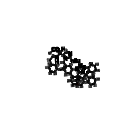 CCCCc1ncc(C(=O)N[C@@H](CC(=O)O)Cc2ccccc2)n1Cc1ccc(-c2ccccc2-c2nnnn2C(c2ccccc2)(c2ccccc2)c2ccccc2)cc1